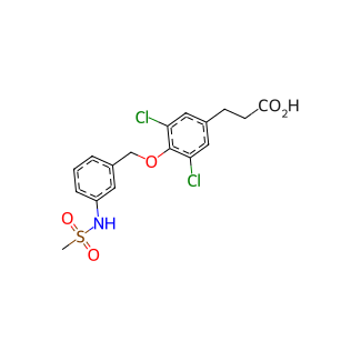 CS(=O)(=O)Nc1cccc(COc2c(Cl)cc(CCC(=O)O)cc2Cl)c1